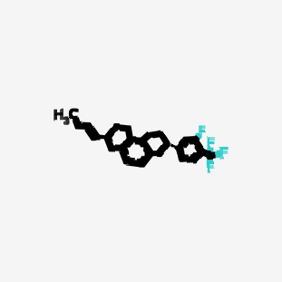 CC/C=C/[C@H]1CCc2c(ccc3c2CC[C@H](c2ccc(C(F)(F)F)c(F)c2)C3)C1